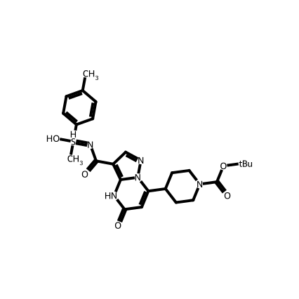 Cc1ccc([SH](C)(O)=NC(=O)c2cnn3c(C4CCN(C(=O)OC(C)(C)C)CC4)cc(=O)[nH]c23)cc1